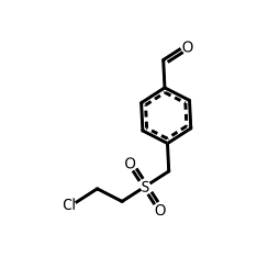 O=Cc1ccc(CS(=O)(=O)CCCl)cc1